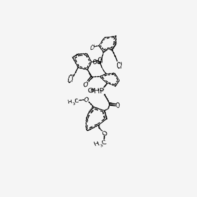 COc1ccc(OC)c(C(=O)[PH](=O)c2cccc(C(=O)c3c(Cl)cccc3Cl)c2C(=O)c2c(Cl)cccc2Cl)c1